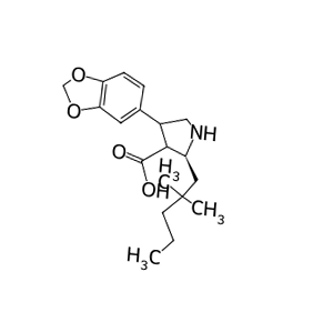 CCCC(C)(C)C[C@@H]1NCC(c2ccc3c(c2)OCO3)C1C(=O)O